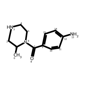 CC1CNCCN1C(=O)c1ccc(N)cc1